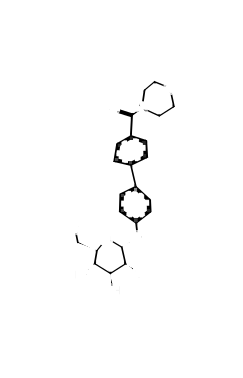 O=C(c1ccc(-c2ccc(O[C@H]3O[C@H](CO)[C@@H](O)[C@H](O)[C@@H]3O)cc2)cc1)N1CCOCC1